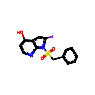 O=S(=O)(Cc1ccccc1)n1c(I)cc2c(O)ccnc21